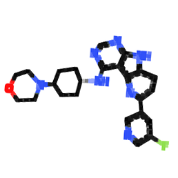 Fc1cncc(-c2ccc3[nH]c4ncnc(N[C@H]5CC[C@H](N6CCOCC6)CC5)c4c3n2)c1